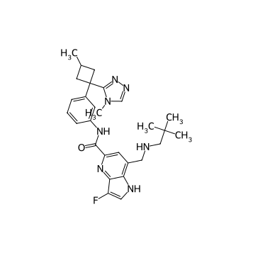 CC1CC(c2cccc(NC(=O)c3cc(CNCC(C)(C)C)c4[nH]cc(F)c4n3)c2)(c2nncn2C)C1